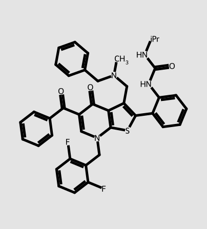 CC(C)NC(=O)Nc1ccccc1-c1sc2c(c1CN(C)Cc1ccccc1)c(=O)c(C(=O)c1ccccc1)cn2Cc1c(F)cccc1F